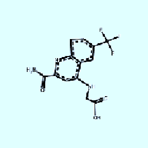 NC(=O)c1cc(NCC(=O)O)c2cc(C(F)(F)F)ccc2n1